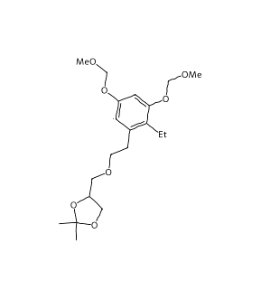 CCc1c(CCOCC2COC(C)(C)O2)[c]c(OCOC)cc1OCOC